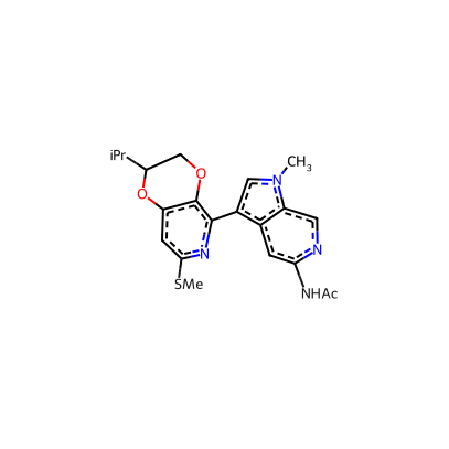 CSc1cc2c(c(-c3cn(C)c4cnc(NC(C)=O)cc34)n1)OCC(C(C)C)O2